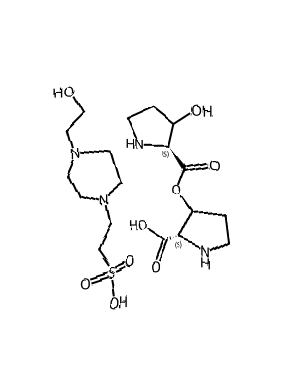 O=C(OC1CCN[C@@H]1C(=O)O)[C@H]1NCCC1O.O=S(=O)(O)CCN1CCN(CCO)CC1